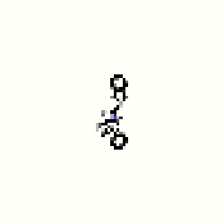 O=S(=O)(c1ccccc1)C(F)(F)/C(F)=C/CN1Cc2ccccc2C1